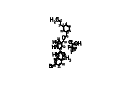 C=CCc1cccc(COC[C@@]23C[C@@H](C(=O)Nc4nc(Br)ccc4C)N[C@@H]2C3)c1.O=C(O)C(F)(F)F